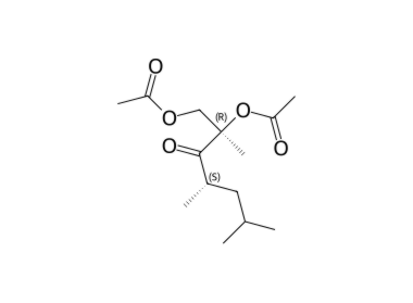 CC(=O)OC[C@@](C)(OC(C)=O)C(=O)[C@@H](C)CC(C)C